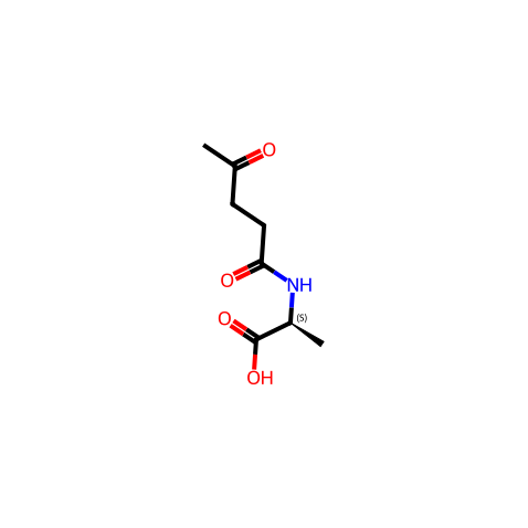 CC(=O)CCC(=O)N[C@@H](C)C(=O)O